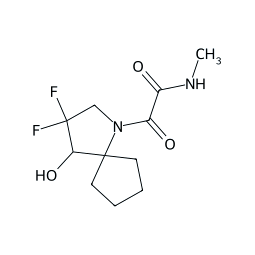 CNC(=O)C(=O)N1CC(F)(F)C(O)C12CCCC2